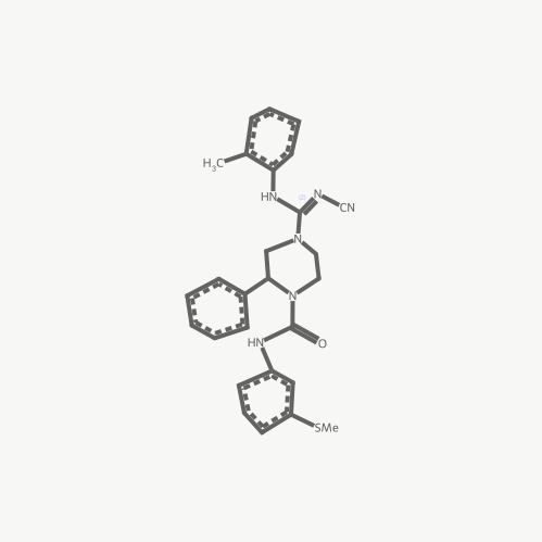 CSc1cccc(NC(=O)N2CCN(/C(=N\C#N)Nc3ccccc3C)CC2c2ccccc2)c1